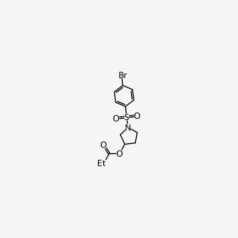 CCC(=O)OC1CCN(S(=O)(=O)c2ccc(Br)cc2)C1